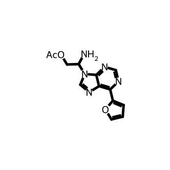 CC(=O)OCC(N)n1cnc2c(-c3ccco3)ncnc21